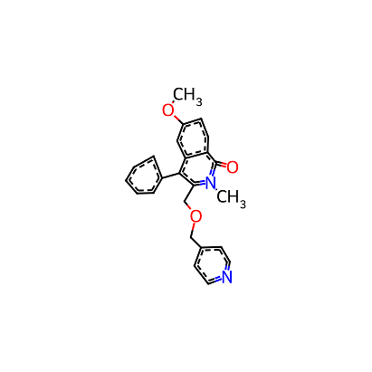 COc1ccc2c(=O)n(C)c(COCc3ccncc3)c(-c3ccccc3)c2c1